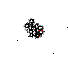 c1ccc(-n2ccc3cc4c5c(c32)N(c2cccc3ccccc23)c2c(ccc3ccccc23)B5n2c3ccccc3c3cccc-4c32)cc1